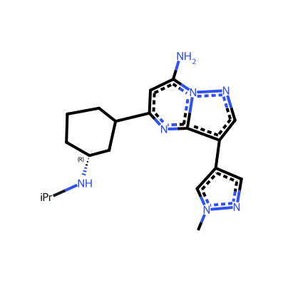 CC(C)N[C@@H]1CCCC(c2cc(N)n3ncc(-c4cnn(C)c4)c3n2)C1